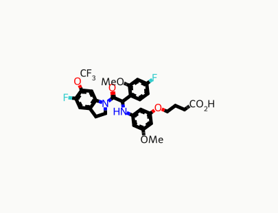 COc1cc(NC(C(=O)N2CCc3cc(F)c(OC(F)(F)F)cc32)c2ccc(F)cc2OC)cc(OCCCC(=O)O)c1